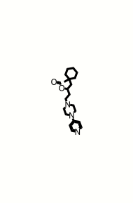 CC1(CC(CCN2CCN(c3ccncc3)CC2)OC=O)CCCCC1